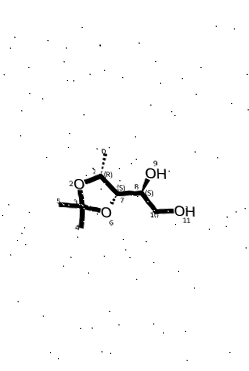 C[C@H]1OC(C)(C)O[C@H]1[C@@H](O)CO